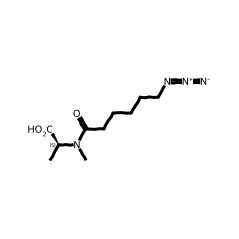 C[C@@H](C(=O)O)N(C)C(=O)CCCCCN=[N+]=[N-]